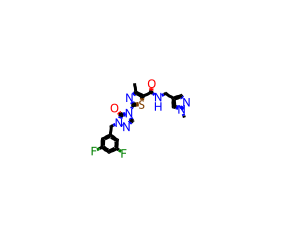 Cc1nc(-n2cnn(Cc3cc(F)cc(F)c3)c2=O)sc1C(=O)NCc1cnn(C)c1